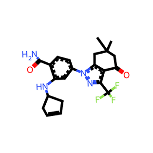 CC1(C)CC(=O)c2c(C(F)(F)F)nn(-c3ccc(C(N)=O)c(NC4CC=CC4)c3)c2C1